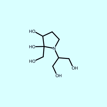 OCC(CO)N1CCC(O)C1(O)CO